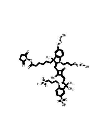 CC1(C)C(C=C2C(=O)C(C=C3N(CCCSOOO)c4ccc(SOOO)cc4C3(C)CCCCCC(=O)ON3C(=O)CCC3=O)=C2O)=[N+](CCCS(=O)(=O)O)c2ccc(S(=O)(=O)O)cc21